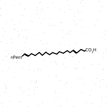 CCCCC/C=C/CCCCCCCCCCCC/C=C/CCC(=O)O